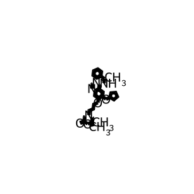 CC(Nc1ncnc2cc(OCCCN3CC(=O)OC(C)(C)C3)c(OC3CCCC3)cc12)c1ccccc1